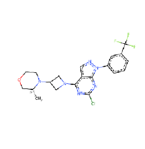 C[C@@H]1COCCN1C1CN(c2nc(Cl)nc3c2cnn3-c2cccc(C(F)(F)F)c2)C1